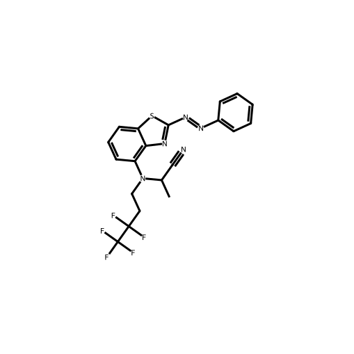 CC(C#N)N(CCC(F)(F)C(F)(F)F)c1cccc2sc(N=Nc3ccccc3)nc12